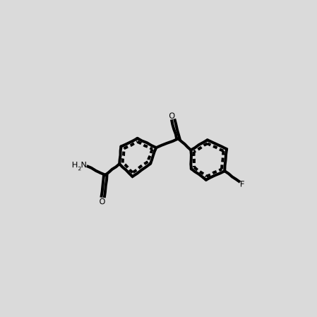 NC(=O)c1ccc(C(=O)c2ccc(F)cc2)cc1